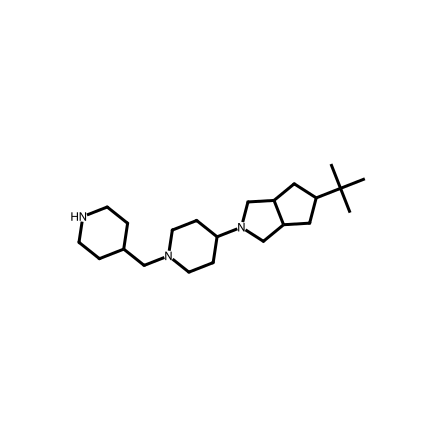 CC(C)(C)C1CC2CN(C3CCN(CC4CCNCC4)CC3)CC2C1